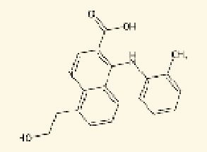 Cc1ccccc1Nc1c(C(=O)O)cnc2c(CCO)cccc12